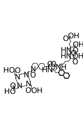 O=C(O)CCC(NC(=O)NC(CCCCNC(=O)[C@H](Cc1ccc2ccccc2c1)NC(=O)C1CCC2(CCCN(C(=O)CN3CCN(CC(=O)O)CCN(CC(=O)O)CCN(CC(=O)O)CC3)C2)CC1)C(=O)O)C(=O)O